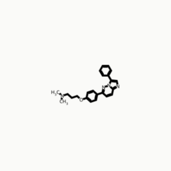 CN(C)CCCOc1ccc(-c2ccc3ncc(-c4ccccc4)n3n2)cc1